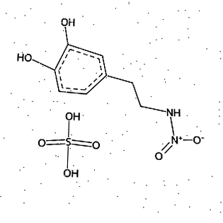 O=S(=O)(O)O.O=[N+]([O-])NCCc1ccc(O)c(O)c1